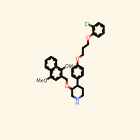 COc1cc(COC2CNCCC2c2ccc(OCCCOc3ccccc3Cl)cc2)c(OC)c2ccccc12